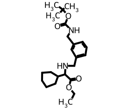 CCOC(=O)C(NCc1cccc(CNC(=O)OC(C)(C)C)c1)C1CCCCC1